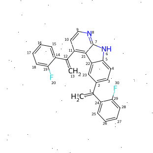 C=C(c1ccc2[nH]c3nccc(C(=C)c4ccccc4F)c3c2c1)c1ccccc1F